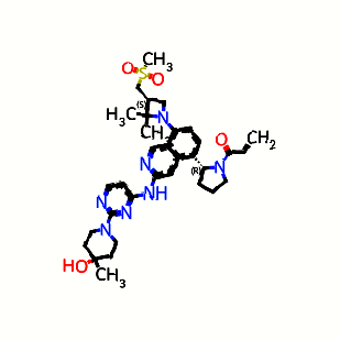 C=CC(=O)N1CCC[C@@H]1c1ccc(N2C[C@H](CS(C)(=O)=O)C2(C)C)c2cnc(Nc3ccnc(N4CCC(C)(O)CC4)n3)cc12